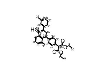 CCOC(=O)C(C(=O)OCC)c1ccc([C@H](CC(=NO)c2ccnc(C)c2)c2ccccc2C)cc1